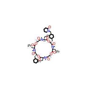 CC(C)C[C@H]1C(=O)O[C@H](Cc2ccc(Cn3ccccc3=O)cc2)C(=O)N(C)[C@@H](CC(C)C)C(=O)O[C@H](C)C(=O)N(C)[C@@H](CC(C)C)C(=O)O[C@H](Cc2ccccc2)C(=O)N(C)[C@@H](CC(C)C)C(=O)O[C@H](C)C(=O)N1C